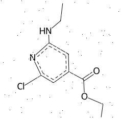 CCNc1cc(C(=O)OCC)cc(Cl)n1